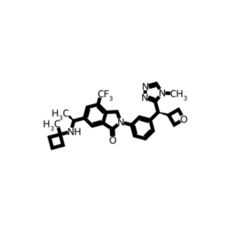 C[C@H](NC1(C)CCC1)c1cc2c(c(C(F)(F)F)c1)CN(c1cccc([C@@H](c3nncn3C)C3COC3)c1)C2=O